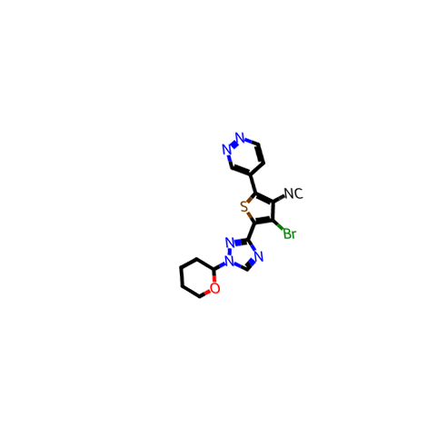 [C-]#[N+]c1c(-c2ccnnc2)sc(-c2ncn(C3CCCCO3)n2)c1Br